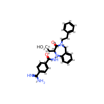 N=C(N)c1ccc(C(=O)NN2c3ccccc3CN(CCc3ccccc3)C(=O)C2CC(=O)O)cc1